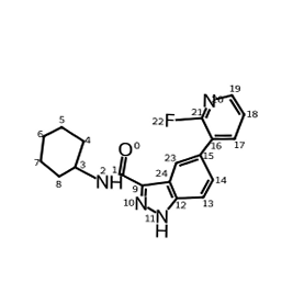 O=C(NC1CCCCC1)c1n[nH]c2ccc(-c3cccnc3F)cc12